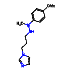 COc1ccc(N(C)NCCCn2ccnc2)cc1